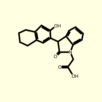 O=C(O)CN1C(=O)C(c2cc3c(cc2O)CCCC3)c2ccccc21